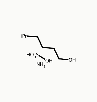 CC(C)CCCCO.N.O=S(=O)(O)O